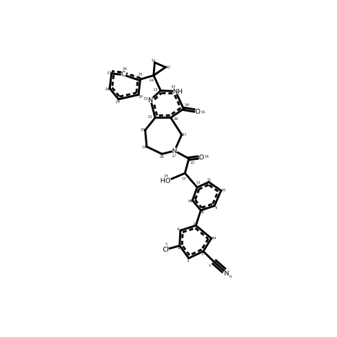 N#Cc1cc(Cl)cc(-c2cccc(C(O)C(=O)N3CCCc4nc(C5(c6ccccc6)CC5)[nH]c(=O)c4C3)c2)c1